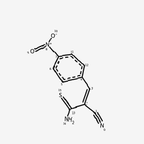 N#CC(=Cc1ccc([N+](=O)[O-])cc1)C(N)=S